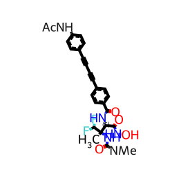 CNC(=O)NC(C)(C(F)F)[C@H](NC(=O)c1ccc(C#CC#Cc2ccc(NC(C)=O)cc2)cc1)C(=O)NO